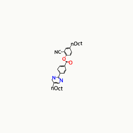 CCCCCCCCc1cnc(-c2ccc(C(=O)Oc3ccc(CCCCCCCC)cc3C#N)cc2)nc1